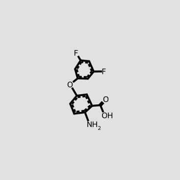 Nc1ccc(Oc2cc(F)cc(F)c2)cc1C(=O)O